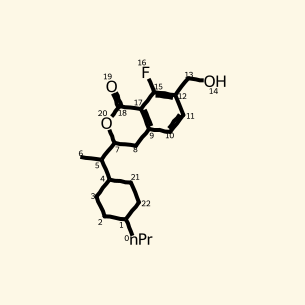 CCCC1CCC(C(C)C2Cc3ccc(CO)c(F)c3C(=O)O2)CC1